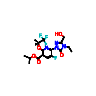 CCn1c(CO)nn(-c2nc(O[C@@H](C)C(F)(F)F)c(C(=O)OC(C)C)cc2F)c1=O